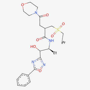 CC[C@H](NC(=O)C(CC(=O)N1CCOCC1)CS(=O)(=O)CC(C)C)C(O)c1noc(-c2ccccc2)n1